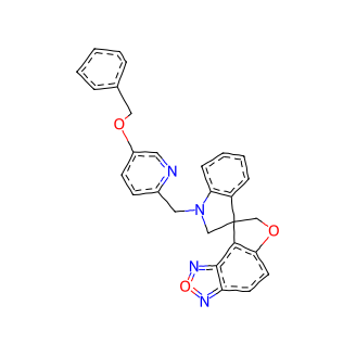 c1ccc(COc2ccc(CN3CC4(COc5ccc6nonc6c54)c4ccccc43)nc2)cc1